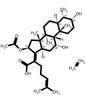 C=C.CC(=O)O[C@H]1C[C@@]2(C)[C@@H](C[C@@H](O)[C@H]3[C@@]4(C)CC[C@@H](O)[C@@H](C)[C@@H]4CC[C@@]32C)/C1=C(\CCC=C(C)C)C(=O)O